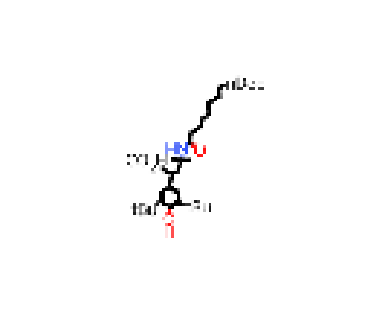 CCCCCCCCCCCCCCCCCC(=O)NC(C)(C)CC(CC(=O)O)c1cc(C(C)(C)C)c(O)c(C(C)(C)C)c1